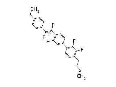 C=CCCc1ccc(-c2ccc(/C(F)=C(\F)c3ccc(CC)cc3)c(F)c2)c(F)c1F